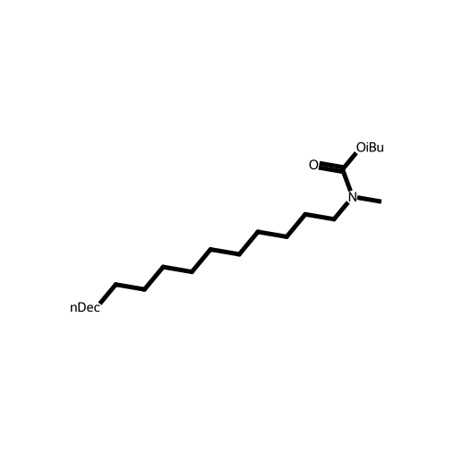 CCCCCCCCCCCCCCCCCCCCN(C)C(=O)OCC(C)C